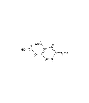 COc1ncc(OBO)c(OC)n1